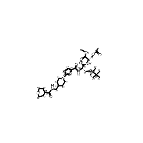 COC(=O)[C@H](COC(C)=O)NC(=O)[C@H](CO[Si](C)(C)C(C)(C)C)NC(=O)c1csc(N2CCC(CNC(=O)C3CCOCC3)CC2)n1